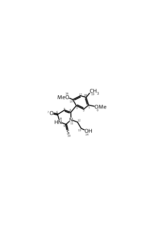 COc1cc(-c2cc(=O)[nH]c(=S)n2CCO)c(OC)cc1C